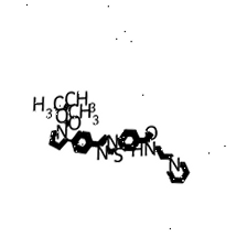 CC(C)(C)OC(=O)N1CCC[C@@H]1c1ccc(-c2cn3c(n2)sc2cc(C(=O)NCCCN4CCCCC4)ccc23)cc1